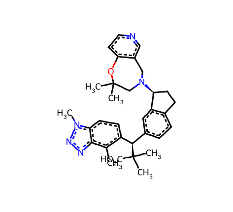 Cc1c([C@@H](c2ccc3c(c2)[C@@H](N2Cc4cnccc4OC(C)(C)C2)CC3)C(C)(C)C(=O)O)ccc2c1nnn2C